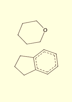 C1CCOCC1.c1ccc2c(c1)CCC2